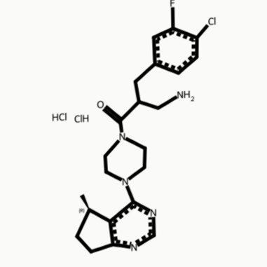 C[C@@H]1CCc2ncnc(N3CCN(C(=O)C(CN)Cc4ccc(Cl)c(F)c4)CC3)c21.Cl.Cl